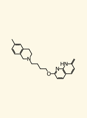 C=C1C=Cc2ccc(OCCCCN3CCc4cc(C)ccc4C3)nc2N1